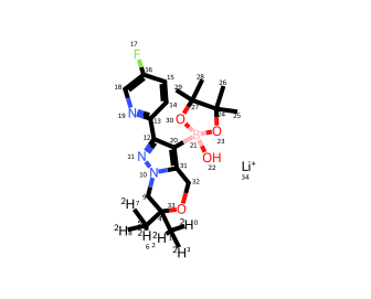 [2H]C([2H])([2H])C1(C([2H])([2H])[2H])Cn2nc(-c3ccc(F)cn3)c([B-]3(O)OC(C)(C)C(C)(C)O3)c2CO1.[Li+]